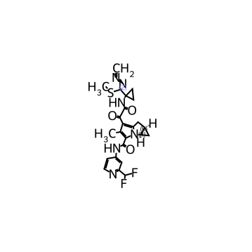 C=N/N=C(\SC)C1(NC(=O)C(=O)c2c(C)c(C(=O)Nc3ccnc(C(F)F)c3)n3c2C[C@H]2C[C@H]23)CC1